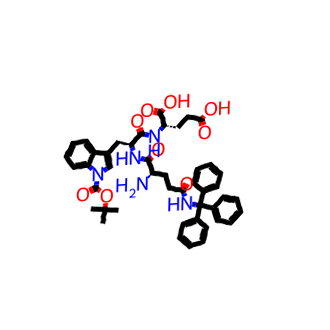 CC(C)(C)OC(=O)n1cc(C[C@H](NC(=O)[C@@H](N)CCC(=O)NC(c2ccccc2)(c2ccccc2)c2ccccc2)C(=O)N[C@@H](CCC(=O)O)C(=O)O)c2ccccc21